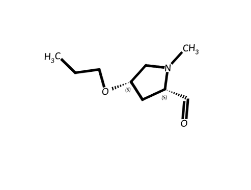 CCCO[C@H]1C[C@@H](C=O)N(C)C1